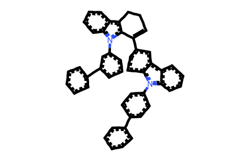 C1=C(c2ccc3c(c2)c2ccccc2n3-c2ccc(-c3ccccc3)cc2)c2c(c3ccccc3n2-c2cccc(-c3ccccc3)c2)CC1